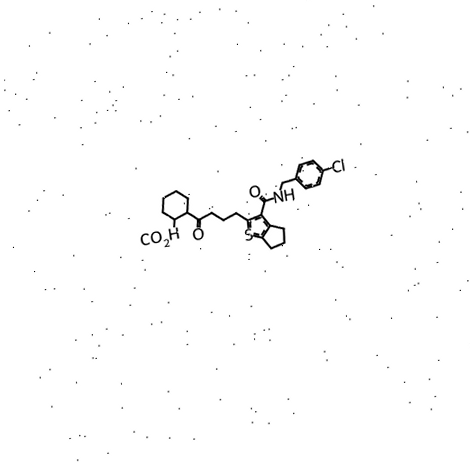 O=C(NCc1ccc(Cl)cc1)c1c(CCCC(=O)C2CCCCC2C(=O)O)sc2c1CCC2